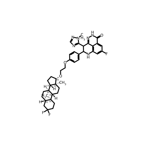 Cn1ncnc1C1c2n[nH]c(=O)c3cc(F)cc(c23)NC1c1ccc(OCCO[C@H]2CC[C@H]3[C@@H]4CC[C@H]5CC(F)(F)CC[C@]5(C)[C@H]4CC[C@]23C)cc1